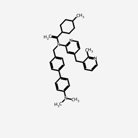 C=C(C1CCC(C)CC1)N(Cc1ccc(-c2ccc(N(C)C)cc2)cc1)c1cc(Cc2cccnc2C)ccn1